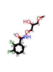 COCC(O)CONC(=O)c1cccc(F)c1F